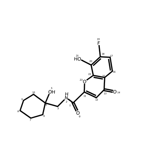 O=C(NCC1(O)CCCCC1)c1cc(=O)c2ccc(F)c(O)c2o1